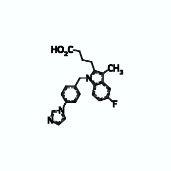 Cc1c(CCCC(=O)O)n(Cc2ccc(-n3ccnc3)cc2)c2ccc(F)cc12